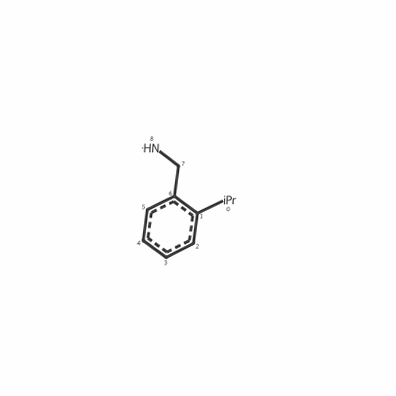 CC(C)c1ccccc1C[NH]